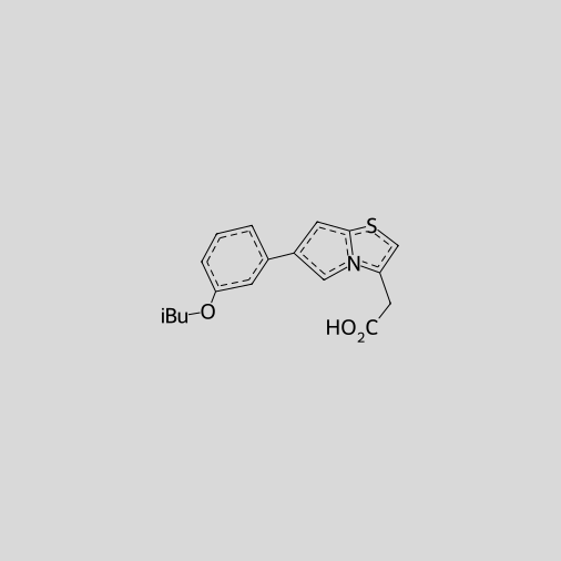 CCC(C)Oc1cccc(-c2cc3scc(CC(=O)O)n3c2)c1